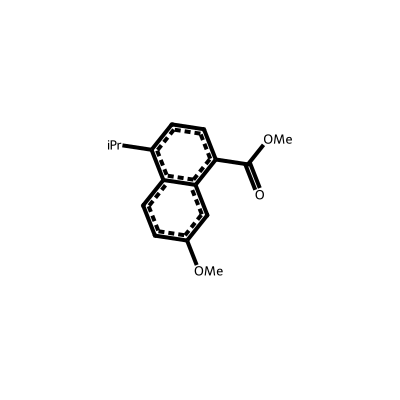 COC(=O)c1ccc(C(C)C)c2ccc(OC)cc12